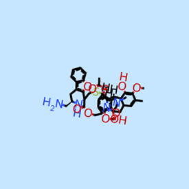 COC1=C(O)C2C(C=C1C)CC1(O)CN(C)[C@@H]2[C@@H]2[C@@H]3SC[C@]4(N[C@@H](CN)Cc5c4oc4ccccc54)C(=O)OCC(c4c5c(c(C)c(OC(C)=O)c43)OCO5)N21